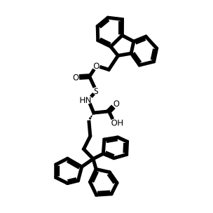 O=C(OCC1c2ccccc2-c2ccccc21)SN[C@@H](CCCC(c1ccccc1)(c1ccccc1)c1ccccc1)C(=O)O